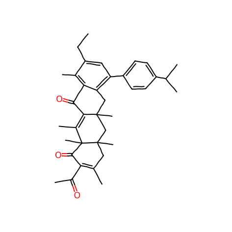 CCc1cc(-c2ccc(C(C)C)cc2)c2c(c1C)C(=O)C1=C(C)C3(C)C(=O)C(C(C)=O)=C(C)CC3(C)CC1(C)C2